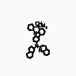 CC1(C)c2ccccc2-n2c3ccc(N(c4ccc5ccccc5c4)c4ccc5ccccc5n4)cc3c3cccc1c32